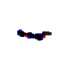 COC(=O)Nc1nccc2cc(NCc3ccc(OC[C@H]4CCn5ccnc5C4)nc3)ccc12